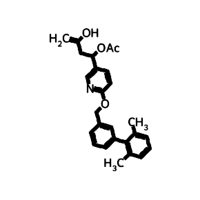 C=C(O)CC(OC(C)=O)c1ccc(OCc2cccc(-c3c(C)cccc3C)c2)nc1